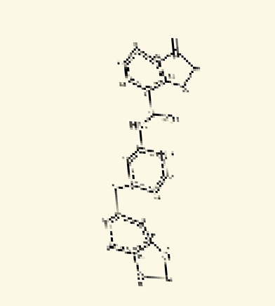 O=C(Nc1cc(Cc2ccc3c(c2)OCO3)ccn1)c1cccc2c1CCN2